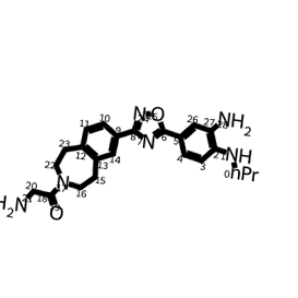 CCCNc1ccc(-c2nc(-c3ccc4c(c3)CCN(C(=O)CN)CC4)no2)cc1N